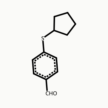 O=Cc1ccc(SC2CCCC2)cc1